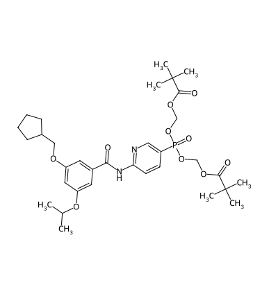 CC(C)Oc1cc(OCC2CCCC2)cc(C(=O)Nc2ccc(P(=O)(OCOC(=O)C(C)(C)C)OCOC(=O)C(C)(C)C)cn2)c1